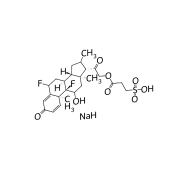 CC1C[C@H]2[C@@H]3CC(F)C4=CC(=O)C=C[C@]4(C)[C@@]3(F)C(O)C[C@]2(C)[C@H]1C(=O)COC(=O)CCS(=O)(=O)O.[NaH]